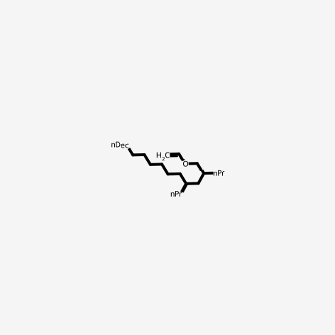 C=COCC(CCC)CC(CCC)CCCCCCCCCCCCCCCC